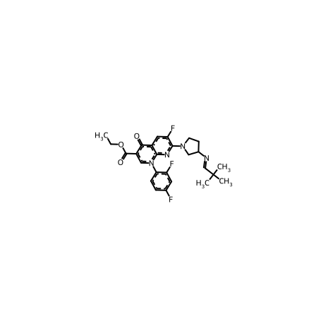 CCOC(=O)c1cn(-c2ccc(F)cc2F)c2nc(N3CCC(N=CC(C)(C)C)C3)c(F)cc2c1=O